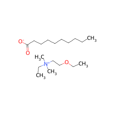 CCCCCCCCCC(=O)[O-].CCOCC[N+](C)(C)CC